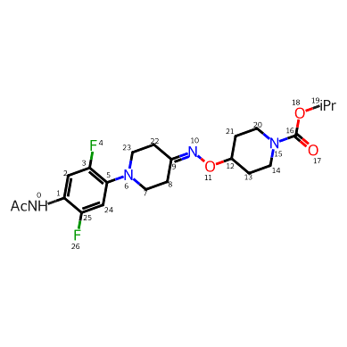 CC(=O)Nc1cc(F)c(N2CCC(=NOC3CCN(C(=O)OC(C)C)CC3)CC2)cc1F